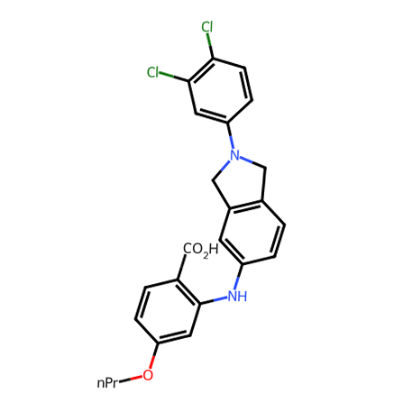 CCCOc1ccc(C(=O)O)c(Nc2ccc3c(c2)CN(c2ccc(Cl)c(Cl)c2)C3)c1